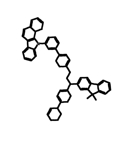 CC1(C)c2ccccc2-c2ccc(C(CCC3=CC=C(c4cccc(-n5c6c(c7ccccc75)C=CC5=CC=CCC56)c4)CC3)C3=CC=C(C4C=CCCC4)CC3)cc21